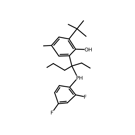 CCCC(CC)(Pc1ccc(F)cc1F)c1cc(C)cc(C(C)(C)C)c1O